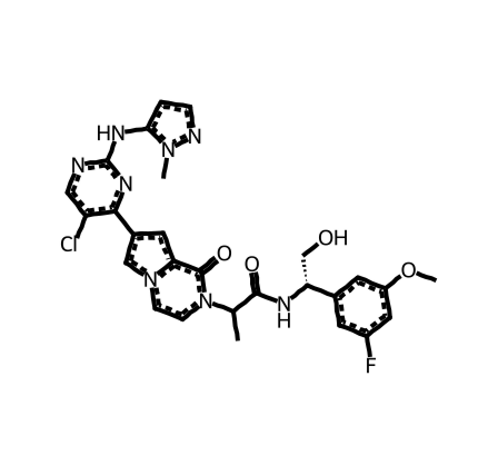 COc1cc(F)cc([C@@H](CO)NC(=O)C(C)n2ccn3cc(-c4nc(Nc5ccnn5C)ncc4Cl)cc3c2=O)c1